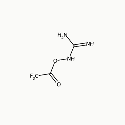 N=C(N)NOC(=O)C(F)(F)F